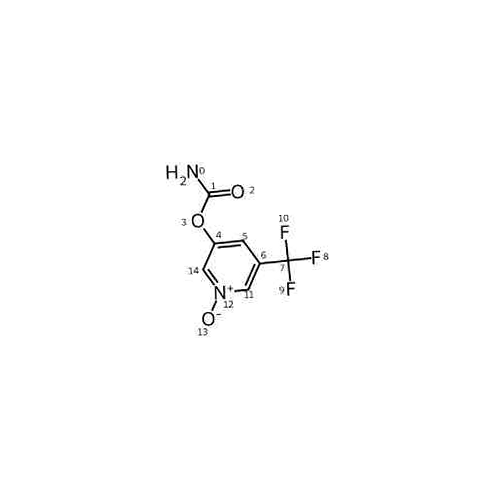 NC(=O)Oc1cc(C(F)(F)F)c[n+]([O-])c1